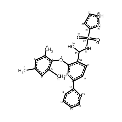 Cc1cc(C)c(Oc2nc(-c3ccccn3)ccc2C(O)NS(=O)(=O)c2cc[nH]n2)c(C)c1